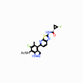 CC(=O)Nc1c(F)c(C)c(-c2ccc3nc(NC(=O)[C@@H]4C[C@@H]4F)sc3n2)c2cn[nH]c12